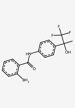 Bc1ccccc1C(=O)Nc1ccc(C(C)(O)C(F)(F)F)cc1